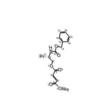 COC(=O)/C=C/C(=O)OC[C@@H](NC(=O)OCc1ccccc1)C(C)C